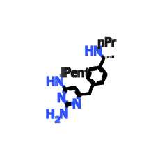 CCCN[C@H](C)c1ccc(Cc2cc(N[C@H](C)CCC)nc(N)n2)cc1